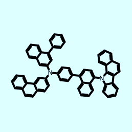 c1ccc(-c2cc(N(c3ccc(-c4ccc(-n5c6ccccc6c6ccc7ccccc7c65)c5ccccc45)cc3)c3ccc4ccc5ccccc5c4c3)cc3ccccc23)cc1